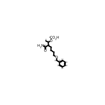 CC(OC(=O)O)C(CCCCOCc1ccccc1)C(N)=O